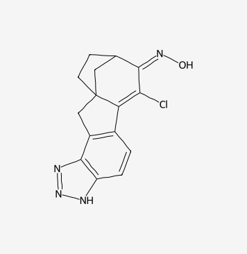 O/N=C1\C(Cl)=C2c3ccc4[nH]nnc4c3CC23CCC1C3